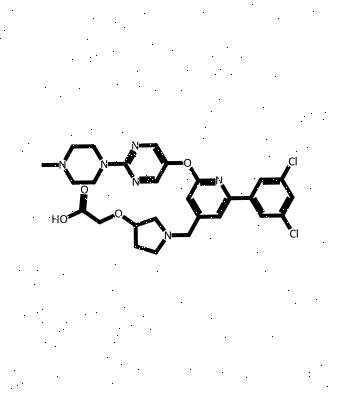 CN1CCN(c2ncc(Oc3cc(CN4CCC(OCC(=O)O)C4)cc(-c4cc(Cl)cc(Cl)c4)n3)cn2)CC1